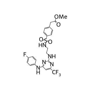 COC(=O)Cc1ccc(S(=O)(=O)NCCNc2nc(Nc3ccc(F)cc3)cc(C(F)(F)F)n2)cc1